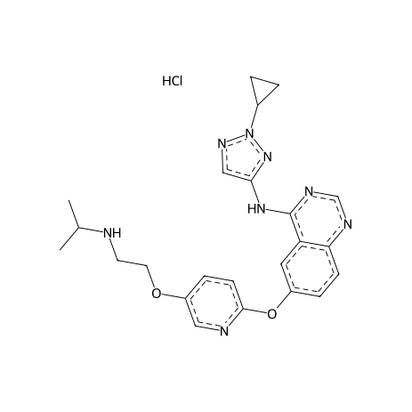 CC(C)NCCOc1ccc(Oc2ccc3ncnc(Nc4cnn(C5CC5)n4)c3c2)nc1.Cl